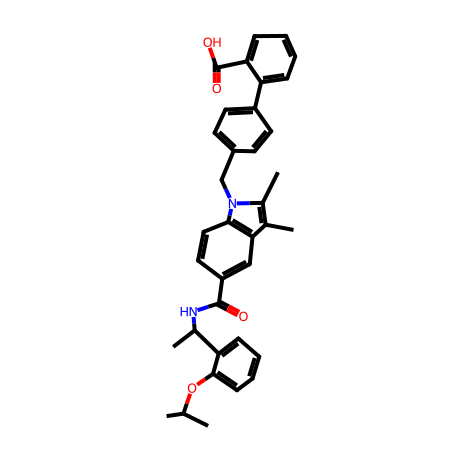 Cc1c(C)n(Cc2ccc(-c3ccccc3C(=O)O)cc2)c2ccc(C(=O)NC(C)c3ccccc3OC(C)C)cc12